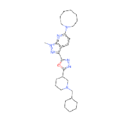 Cn1nc(-c2nnc(C3CCCN(CC4CCCCC4)C3)o2)c2ccc(N3CCCCCCC3)nc21